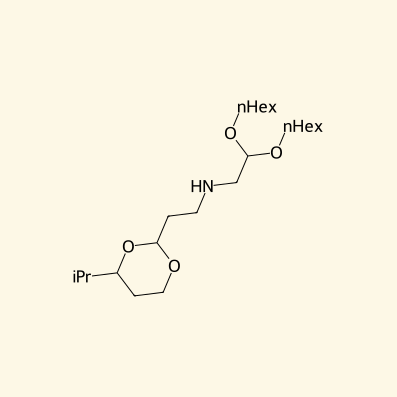 CCCCCCOC(CNCCC1OCCC(C(C)C)O1)OCCCCCC